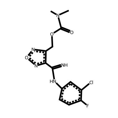 CN(C)C(=O)OCc1nonc1C(=N)Nc1ccc(F)c(Cl)c1